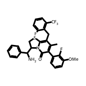 COc1cccc(-c2c(C)c(Cc3c(F)cccc3C(F)(F)F)c3n(c2=O)C(C(N)c2ccccc2)CS3)c1F